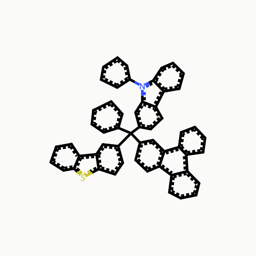 c1ccc(-n2c3ccccc3c3ccc(C(c4ccccc4)(c4ccc5sc6ccccc6c5c4)c4ccc5c6ccccc6c6ccccc6c5c4)cc32)cc1